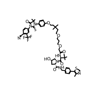 Cc1ncsc1-c1ccc(CNC(=O)[C@@H]2C[C@@H](O)CN2C(=O)[C@@H](NC(=O)COCCCOCCC(C)(C)CCOc2ccc(N3C(=S)N(c4ccc(C#N)c(C(F)(F)F)c4)C(=O)C3(C)C)cc2)C(C)(C)C)cc1